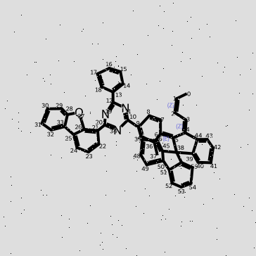 C\C=C/C=C1\C(=C2/C=CC(c3nc(-c4ccccc4)nc(-c4cccc5c4oc4ccccc45)n3)=CC2C)C2(c3ccccc31)c1ccccc1-c1ccccc12